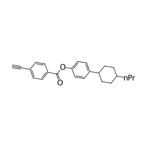 C#Cc1ccc(C(=O)Oc2ccc(C3CCC(CCC)CC3)cc2)cc1